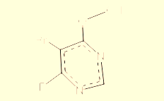 COc1ncnc(F)c1Br